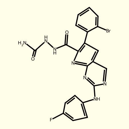 NC(=O)NNC(=O)c1nc2nc(Nc3ccc(F)cc3)ncc2cc1-c1ccccc1Br